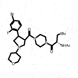 CC(=O)N[C@@H](CC(C)(C)C)C(=O)N1CCN(C(=O)C2CN(C3CCOCC3)CC2c2ccc(Br)cc2F)CC1